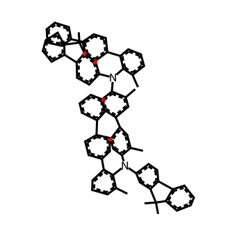 Cc1cc(-c2ccc(N(c3ccc4c(c3)C(C)(C)c3ccccc3-4)c3c(C)cccc3-c3ccc(-c4ccccc4)cc3)c(C)c2)ccc1N(c1ccc2c(c1)C(C)(C)c1ccccc1-2)c1c(C)cccc1-c1ccc(-c2ccccc2)cc1